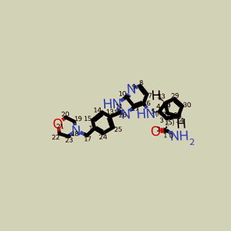 NC(=O)[C@@H]1[C@H](Nc2ccnc3[nH]c(-c4ccc(CN5CCOCC5)cc4)nc23)[C@H]2C=C[C@@H]1C2